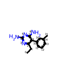 CCc1nc(N)nc(N)c1-c1cccc(C)c1